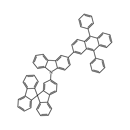 c1ccc(-c2c3ccccc3c(-c3ccccc3)c3cc(-c4ccc5c(c4)c4ccccc4n5-c4ccc5c(c4)C4(c6ccccc6-c6ccccc64)c4ccccc4-5)ccc23)cc1